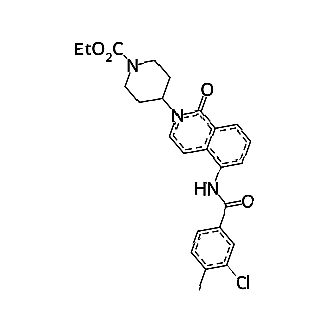 CCOC(=O)N1CCC(n2ccc3c(NC(=O)c4ccc(C)c(Cl)c4)cccc3c2=O)CC1